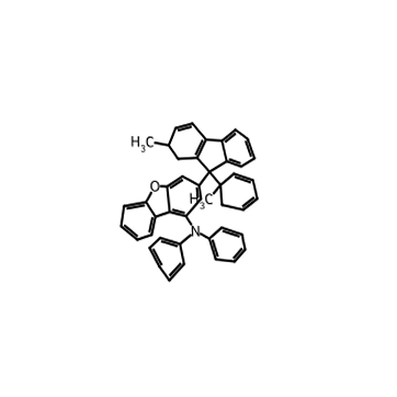 CC1C=CC2=C(C1)C(c1cc(N(c3ccccc3)c3ccccc3)c3c(c1)oc1ccccc13)(C1(C)C=CC=CC1)c1ccccc12